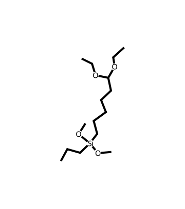 CCC[Si](CCCCCC(OCC)OCC)(OC)OC